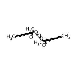 CCCCCCCCC=C(C=O)C(C)OCOCOC(C)C(C=O)=CCCCCCCCC